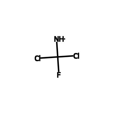 [NH]C(F)(Cl)Cl